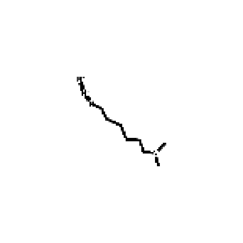 CN(C)CCCCCCN=[N+]=[N-]